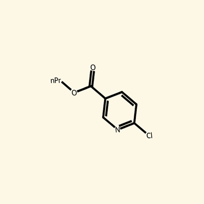 CCCOC(=O)c1ccc(Cl)nc1